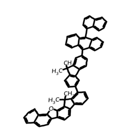 CC1(C)c2ccc(-c3cccc4c3C(C)(C)c3c-4ccc4c3oc3c5ccccc5ccc43)cc2-c2ccc(-c3c4ccccc4c(-c4cccc5ccccc45)c4ccccc34)cc21